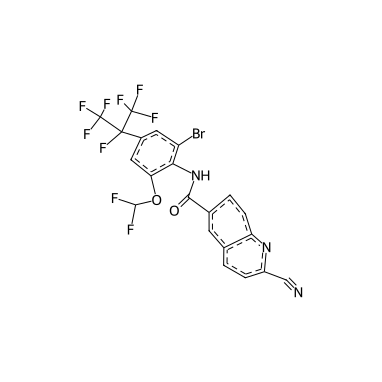 N#Cc1ccc2cc(C(=O)Nc3c(Br)cc(C(F)(C(F)(F)F)C(F)(F)F)cc3OC(F)F)ccc2n1